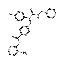 Nc1ccccc1NC(=O)c1ccc(/C=C(/C(=O)NCc2ccccc2)c2ccc(F)cc2)cc1